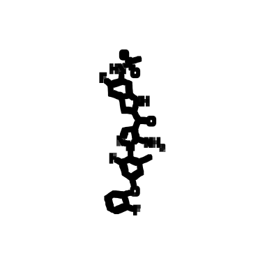 Cc1cc(Oc2ccccc2F)cc(F)c1-n1ncc(C(=O)c2cc3cc(F)c(NS(C)(=O)=O)cc3[nH]2)c1N